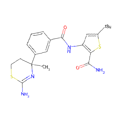 CC(C)(C)c1cc(NC(=O)c2cccc(C3(C)CCSC(N)=N3)c2)c(C(N)=O)s1